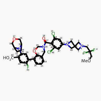 COCC(F)(F)CN1CC2(C1)CN(c1cc(Cl)c(C(=O)N3COc4c(cccc4-c4cc(N5C6CCC5COC6)c(C(=O)O)cc4F)C3)c(Cl)c1)C2